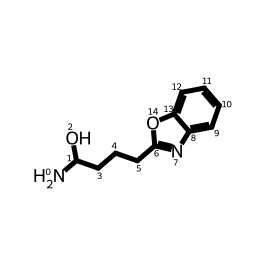 NC(O)CCCc1nc2ccccc2o1